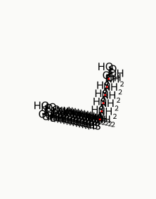 NCCS.NCCS.NCCS.NCCS.NCCS.NCCS.NCCS.NCCS.NCCS.NCCS.NCCS.NCCS.NCCS.NCCS.NCCS.NCCS.NCCS.NCCS.NCCS.O=C(O)CC(O)C(=O)O.O=C(O)CC(O)C(=O)O.O=C(O)CC(O)C(=O)O